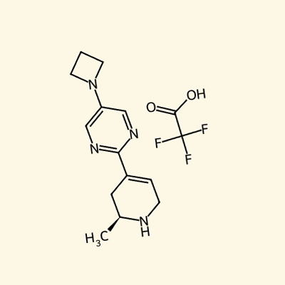 C[C@H]1CC(c2ncc(N3CCC3)cn2)=CCN1.O=C(O)C(F)(F)F